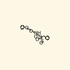 O=S=C1C(=O)N(CC(=O)NCCOCCOc2ccccc2)C1Cc1ccccc1